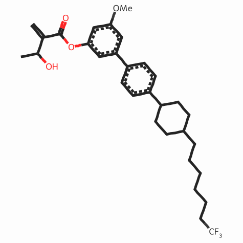 C=C(C(=O)Oc1cc(OC)cc(-c2ccc(C3CCC(CCCCCCC(F)(F)F)CC3)cc2)c1)C(C)O